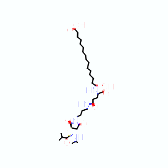 CC(C)NC(SC1CC(=O)N(CCCCNC(=O)CCC(NC(=O)CCCCCCCCCCCCCCC(=O)O)C(=O)O)C1=O)C(=O)C(C)C